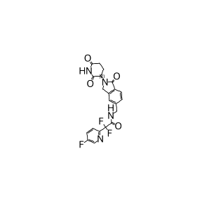 O=C1CC[C@@H](N2Cc3cc(CNC(=O)C(F)(F)c4ccc(F)cn4)ccc3C2=O)C(=O)N1